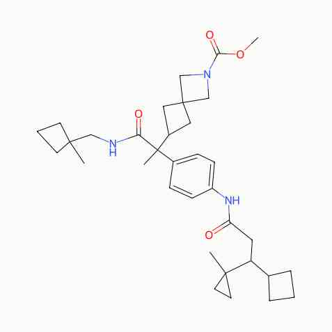 COC(=O)N1CC2(CC(C(C)(C(=O)NCC3(C)CCC3)c3ccc(NC(=O)CC(C4CCC4)C4(C)CC4)cc3)C2)C1